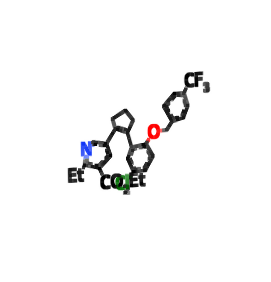 CCOC(=O)c1cc(C2=C(c3cc(Cl)ccc3OCc3ccc(C(F)(F)F)cc3)CCC2)cnc1CC